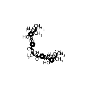 CC(C)(C)CC(C)(C)c1ccc(O)c(-n2n3c4ccc(C(=O)OCC(C)(C)COC(=O)c5ccc6c(c5)n5n(-c7cc(C(C)(C)CC(C)(C)C)ccc7O)n65)cc4n23)c1